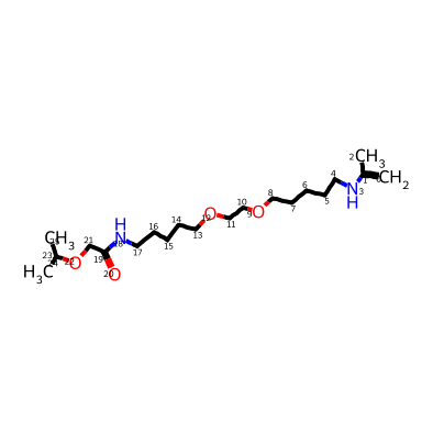 C=C(C)NCCCCCOCCOCCCCCNC(=O)COC(C)C